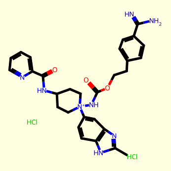 Cc1nc2cc([N+]3(NC(=O)OCCc4ccc(C(=N)N)cc4)CCC(NC(=O)c4ccccn4)CC3)ccc2[nH]1.Cl.Cl